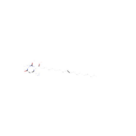 CCCCCCCCC=CCCCCCCCC(=O)n1c(N)cc(=O)[nH]c1=O